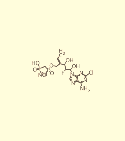 C/C=C(/COP(=O)(O)CP(=O)(O)O)[C@@H](O)[C@H](F)[C@@H](O)n1cnc2c(N)nc(Cl)nc21